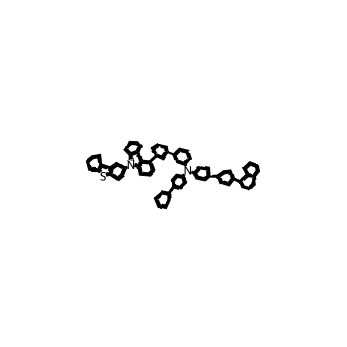 c1ccc(-c2ccc(N(c3ccc(-c4ccc(-c5cccc6ccccc56)cc4)cc3)c3cccc(-c4cccc(-c5cccc6c5c5ccccc5n6-c5ccc6sc7ccccc7c6c5)c4)c3)cc2)cc1